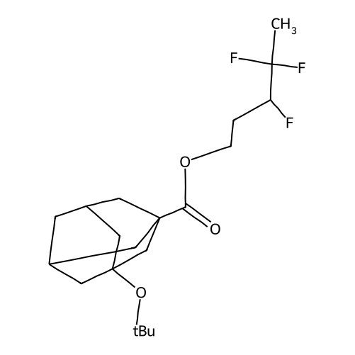 CC(C)(C)OC12CC3CC(C1)CC(C(=O)OCCC(F)C(C)(F)F)(C3)C2